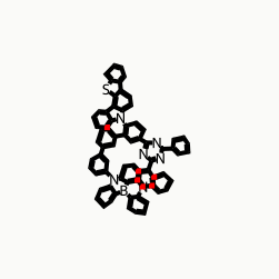 c1ccc(-c2nc(-c3ccccc3)nc(-c3ccc(-n4c5ccccc5c5c6sc7ccccc7c6ccc54)c(-c4cccc(-c5cccc(N6c7ccccc7B7c8ccccc8N(c8ccccc8)c8cccc6c87)c5)c4)c3)n2)cc1